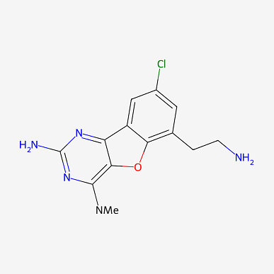 CNc1nc(N)nc2c1oc1c(CCN)cc(Cl)cc12